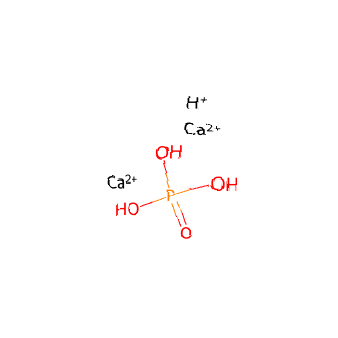 O=P(O)(O)O.[Ca+2].[Ca+2].[H+]